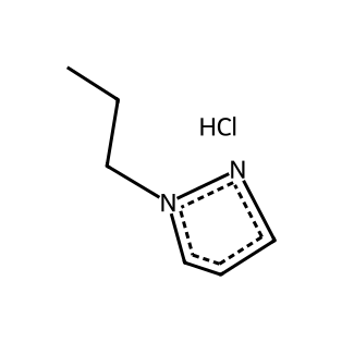 CCCn1cccn1.Cl